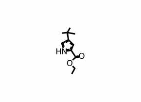 CCOC(=O)c1cc(C(C)(C)C)c[nH]1